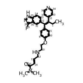 CCC(=C(c1ccc(OCCNCC=CC(=O)N(C)C)cc1)c1ccc2[nH]nc(F)c2c1)c1ccncc1